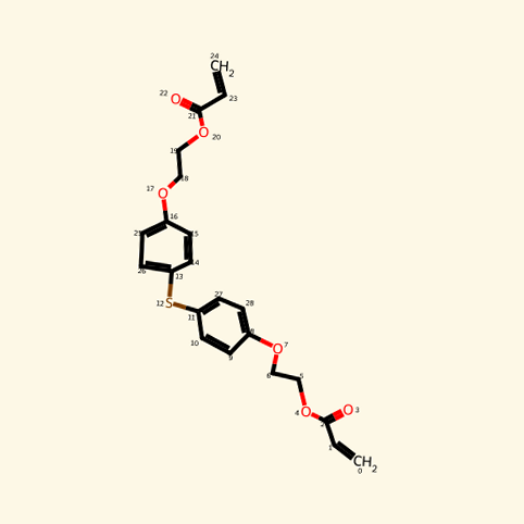 C=CC(=O)OCCOc1ccc(Sc2ccc(OCCOC(=O)C=C)cc2)cc1